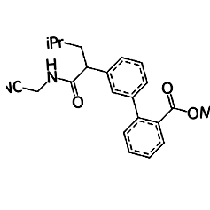 COC(=O)c1ccccc1-c1cccc(C(CC(C)C)C(=O)NCC#N)c1